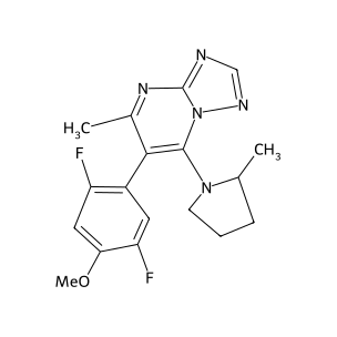 COc1cc(F)c(-c2c(C)nc3ncnn3c2N2CCCC2C)cc1F